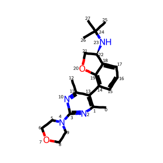 Cc1nc(N2CCOCC2)nc(C)c1-c1cccc2c1OC[C@H]2NC(C)(C)C